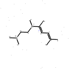 CC(C)=C/C=C(\C)N(C)CCN(C)C